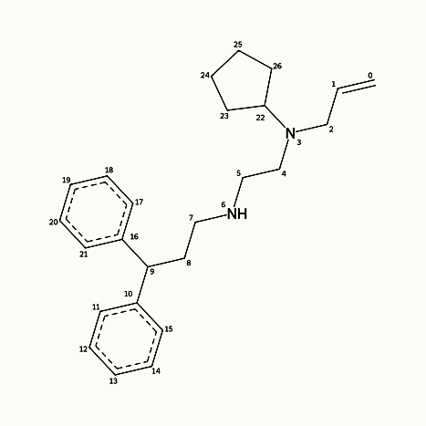 C=CCN(CCNCCC(c1ccccc1)c1ccccc1)C1CCCC1